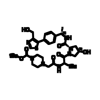 C[C@H](NC(=O)[C@@H]1C[C@@H](O)CN1C(=O)C(NC(=O)CN1CCN(C(=O)OC(C)(C)C)CC1)C(C)(C)C)c1ccc(-c2scnc2CO)cc1